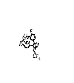 N#Cc1cnc2ccc(-c3c(-c4ccc(F)c(Cl)c4)ncn3CCC(F)(F)F)nn12